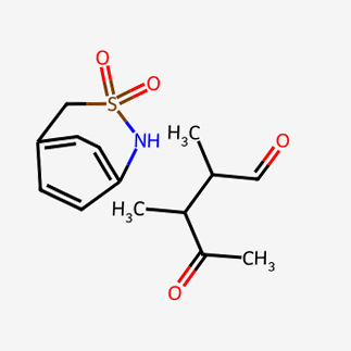 CC(=O)C(C)C(C)C=O.O=S1(=O)Cc2ccc(cc2)N1